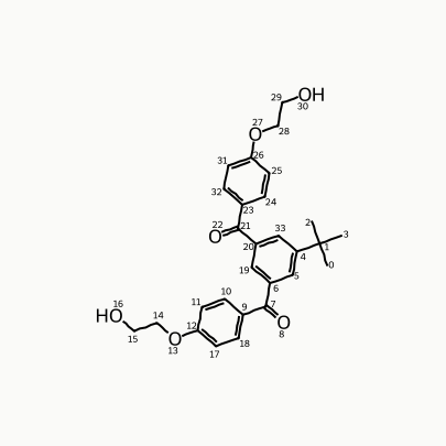 CC(C)(C)c1cc(C(=O)c2ccc(OCCO)cc2)cc(C(=O)c2ccc(OCCO)cc2)c1